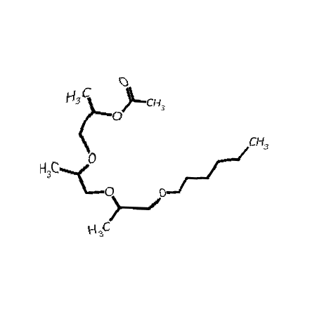 CCCCCCOCC(C)OCC(C)OCC(C)OC(C)=O